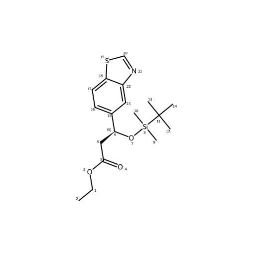 CCOC(=O)C[C@H](O[Si](C)(C)C(C)(C)C)c1ccc2scnc2c1